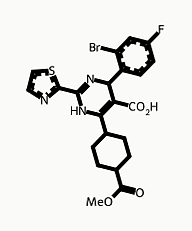 COC(=O)C1CCC(C2=C(C(=O)O)C(c3ccc(F)cc3Br)N=C(c3nccs3)N2)CC1